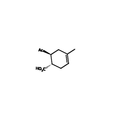 CC(=O)[C@H]1CC(C)=CC[C@@H]1C(=O)O